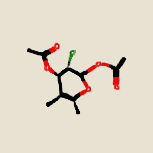 CC(=O)OC1O[C@@H](C)[C@@H](C)[C@@H](OC(C)=O)[C@@H]1Cl